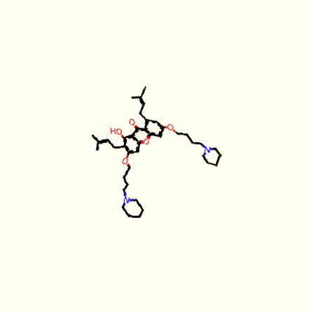 CC(C)=CCc1c(OCCCCN2CCCCC2)cc2oc3cc(OCCCCN4CCCCC4)cc(CC=C(C)C)c3c(=O)c2c1O